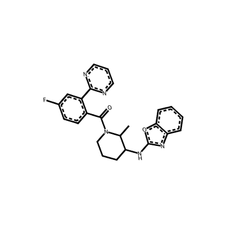 CC1C(Nc2nc3ccccc3o2)CCCN1C(=O)c1ccc(F)cc1-c1ncccn1